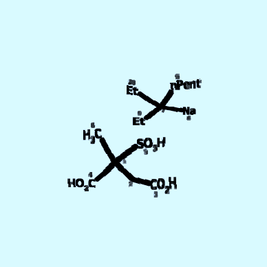 CC(CC(=O)O)(C(=O)O)S(=O)(=O)O.CCCCC[C]([Na])(CC)CC